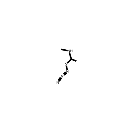 CNC(C)SN=[N+]=[N-]